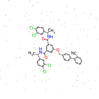 CC(NC(=O)c1cc(OCc2ccc(-c3ccccc3C#N)cc2)cc(C(=O)NC(C)c2ccc(Cl)c(Cl)c2)c1)c1ccc(Cl)c(Cl)c1